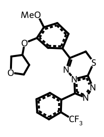 COc1ccc(C2=Nn3c(nnc3-c3ccccc3C(F)(F)F)SC2)cc1OC1CCOC1